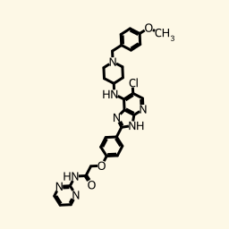 COc1ccc(CN2CCC(Nc3c(Cl)cnc4[nH]c(-c5ccc(OCC(=O)Nc6ncccn6)cc5)nc34)CC2)cc1